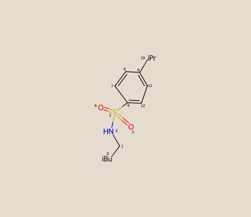 CCC(C)CNS(=O)(=O)c1ccc(C(C)C)cc1